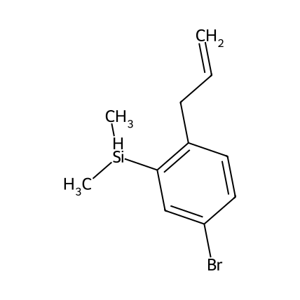 C=CCc1ccc(Br)cc1[SiH](C)C